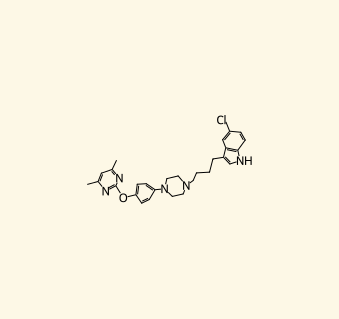 Cc1cc(C)nc(Oc2ccc(N3CCN(CCCCc4c[nH]c5ccc(Cl)cc45)CC3)cc2)n1